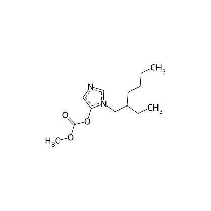 CCCCC(CC)Cn1cncc1OC(=O)OC